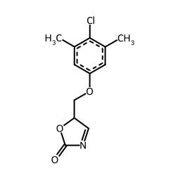 Cc1cc(OCC2C=NC(=O)O2)cc(C)c1Cl